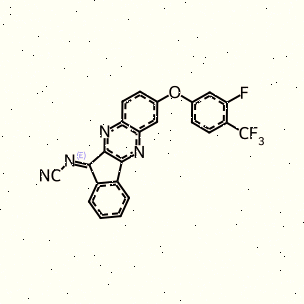 N#C/N=C1\c2ccccc2-c2nc3cc(Oc4ccc(C(F)(F)F)c(F)c4)ccc3nc21